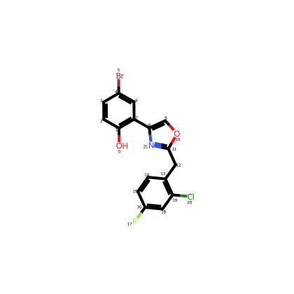 Oc1ccc(Br)cc1-c1coc(Cc2ccc(F)cc2Cl)n1